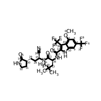 COc1cc(C(F)(F)F)cc2[nH]c(C(=O)N[C@@H](CC(C)(C)C)C(=O)N[C@H](C#N)CC[C@@H]3CCNC3=O)c(C(F)(F)F)c12